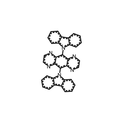 c1ccc2c(c1)c1ccccc1n2-c1c2nccnc2c(-n2c3ccccc3c3ccccc32)c2nccnc12